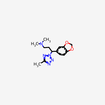 Cc1nnn(C(CCN(C)C)c2ccc3c(c2)OCO3)n1